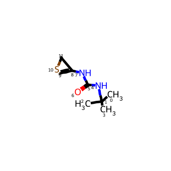 CC(C)(C)NC(=O)NC1=CSC1